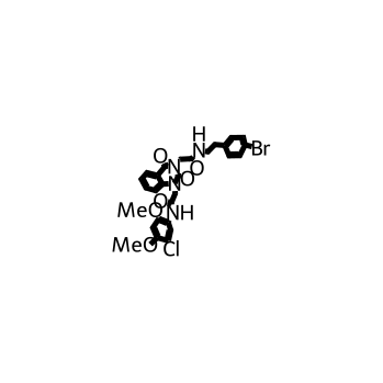 COc1cc(OC)c(NC(=O)Cn2c(=O)n(CC(=O)NCCc3ccc(Br)cc3)c(=O)c3ccccc32)cc1Cl